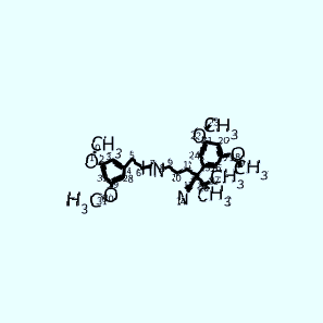 COc1cc(CCCNCCCC(C#N)(c2cc(OC)cc(OC)c2)C(C)C)cc(OC)c1